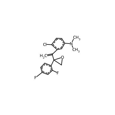 C=C(c1cc(N(C)C)ccc1Cl)C1(c2ccc(F)cc2F)CO1